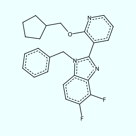 Fc1ccc2c(nc(-c3cccnc3OCC3CCCC3)n2Cc2ccccc2)c1F